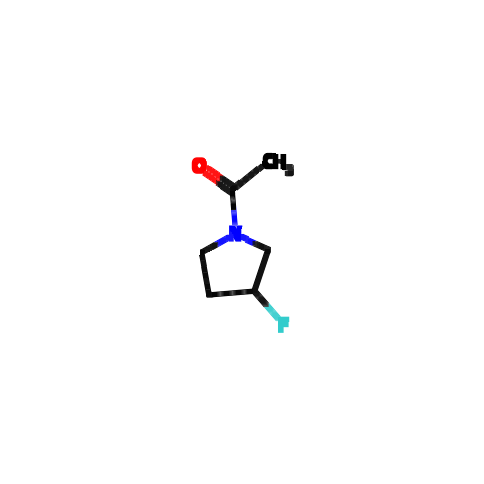 CC(=O)N1CCC(F)C1